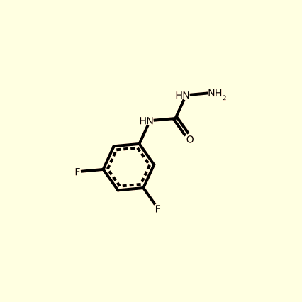 NNC(=O)Nc1cc(F)cc(F)c1